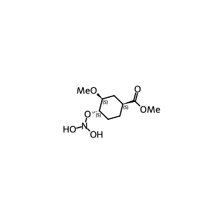 COC(=O)[C@H]1CC[C@H](ON(O)O)[C@@H](OC)C1